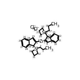 CCC[Si]1(C2[C]([Zr+2][C]3=Cc4ccccc4C3[Si]3(CCC)CCC3)=Cc3ccccc32)CCC1.[Cl-].[Cl-]